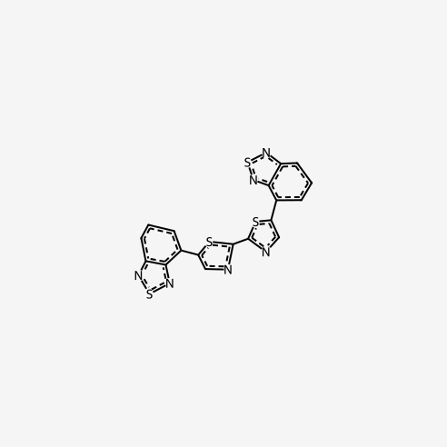 c1cc(-c2cnc(-c3ncc(-c4cccc5nsnc45)s3)s2)c2nsnc2c1